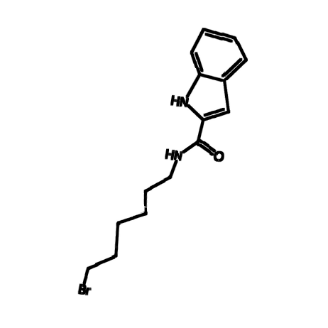 O=C(NCCCCCCBr)c1cc2ccccc2[nH]1